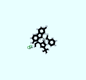 CCCC1C=C(C(C)(C)C)C=[C]1/[Zr+2](=[C](/C)c1ccccc1)[CH]1c2cc(C)ccc2-c2ccc(C)cc21.[Cl-].[Cl-]